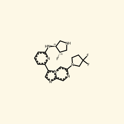 F[C@H]1CNC[C@@H]1Nc1cccc(-c2cnc3cnc(N4CCC(F)(F)C4)cn23)n1